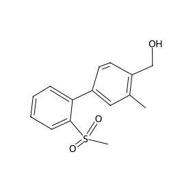 Cc1cc(-c2ccccc2S(C)(=O)=O)ccc1CO